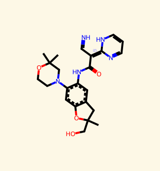 CC1(C)CN(c2cc3c(cc2NC(=O)/C(C=N)=C2\N=CC=CN2)CC(C)(CO)O3)CCO1